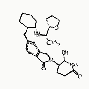 C[C@H](N[C@H]1CCCC[C@@H]1Cc1ccc2c(c1)CN(C1CCC(=O)NC1O)C2=O)[C@@H]1CCCO1